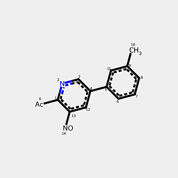 CC(=O)c1ncc(-c2cccc(C)c2)cc1N=O